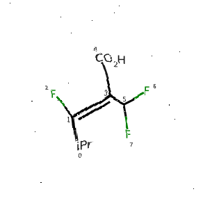 CC(C)C(F)=C(C(=O)O)C(F)F